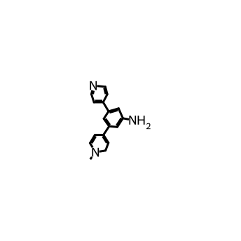 CN1C=CC(c2cc(N)cc(-c3ccncc3)c2)=CC1